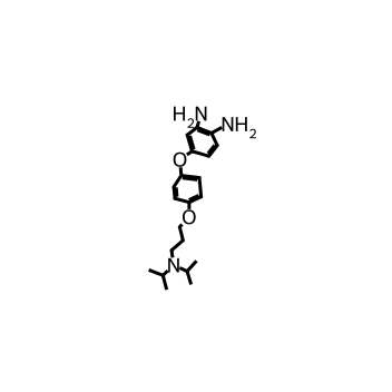 CC(C)N(CCCOc1ccc(Oc2ccc(N)c(N)c2)cc1)C(C)C